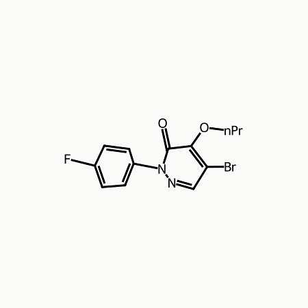 CCCOc1c(Br)cnn(-c2ccc(F)cc2)c1=O